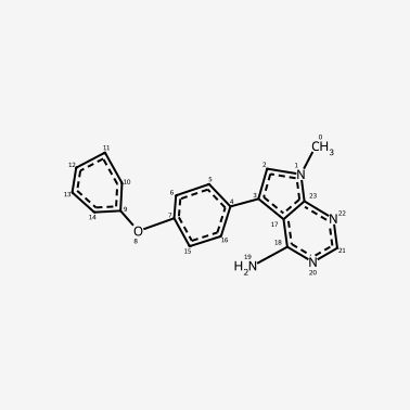 Cn1cc(-c2ccc(Oc3ccccc3)cc2)c2c(N)ncnc21